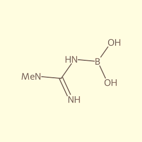 CNC(=N)NB(O)O